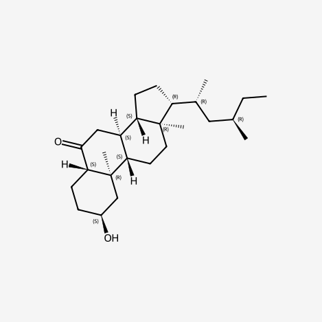 CC[C@@H](C)C[C@@H](C)[C@H]1CC[C@H]2[C@@H]3CC(=O)[C@H]4CC[C@H](O)C[C@]4(C)[C@H]3CC[C@]12C